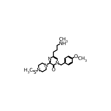 CNCCCc1cn(Cc2ccc(OC)cc2)c(=O)c(N2CCN(SC)CC2)n1